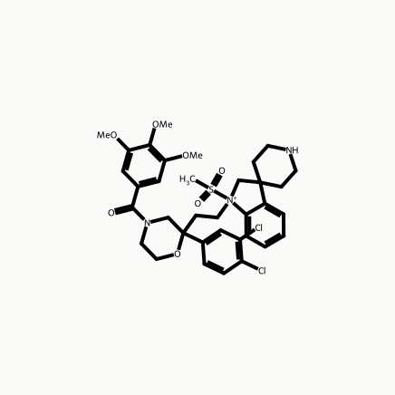 COc1cc(C(=O)N2CCOC(CC[N+]3(S(C)(=O)=O)CC4(CCNCC4)c4ccccc43)(c3ccc(Cl)c(Cl)c3)C2)cc(OC)c1OC